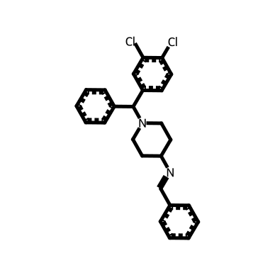 Clc1ccc(C(c2ccccc2)N2CCC(N=Cc3ccccc3)CC2)cc1Cl